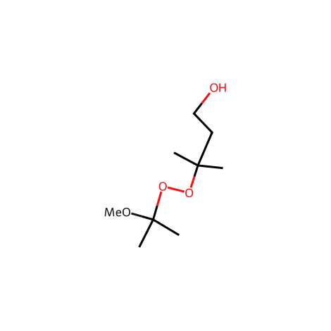 COC(C)(C)OOC(C)(C)CCO